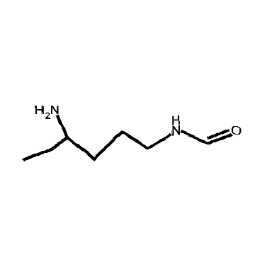 CC(N)CCCNC=O